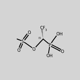 CS(=O)(=O)O[C@H](C(F)(F)F)P(=O)(O)O